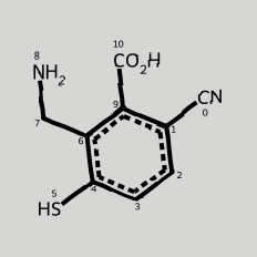 N#Cc1ccc(S)c(CN)c1C(=O)O